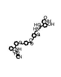 COc1cc(COC(=O)c2ccc(COc3cccc(C(NC(=O)O[C@H]4CN5CCC4CC5)c4ccccc4)c3)cc2)ccc1CCNC[C@@H](O)c1ccc(O)c2[nH]c(=O)ccc12